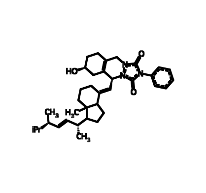 CC(C)[C@@H](C)/C=C/[C@@H](C)C1CCC2/C(=C/[C@H]3C4=C(CC[C@H](O)C4)Cn4c(=O)n(-c5ccccc5)c(=O)n43)CCCC21C